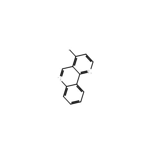 Ic1ccnc2c1cnc1ccccc12